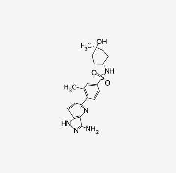 Cc1cc(S(=O)(=O)N[C@H]2CC[C@@](O)(C(F)(F)F)CC2)ccc1-c1ccc2[nH]nc(N)c2n1